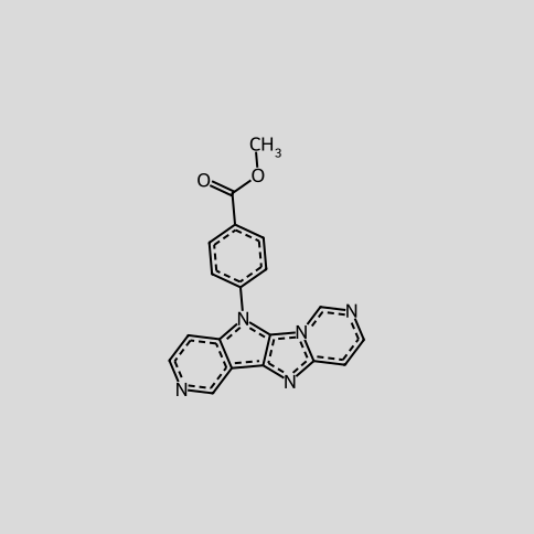 COC(=O)c1ccc(-n2c3ccncc3c3nc4ccncn4c32)cc1